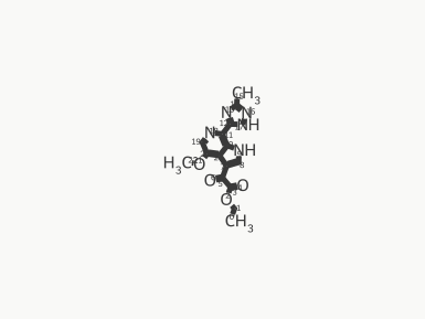 CCOC(=O)C(=O)c1c[nH]c2c(-c3nc(C)n[nH]3)ncc(OC)c12